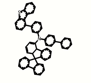 C1=CC2C(C(N(c3ccc(-c4ccccc4)cc3)c3cccc(-c4cccc5sc6ccccc6c45)c3)=C1)c1ccccc1C21c2ccccc2-c2ccccc21